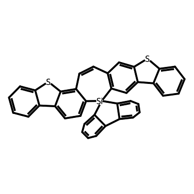 C1=Cc2c(ccc3c2sc2ccccc23)[Si]2(c3cc4c(cc31)sc1ccccc14)c1ccccc1-c1ccccc12